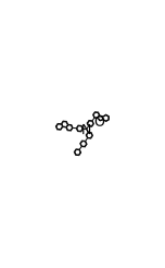 c1ccc(-c2ccc(-c3cccc(N(c4ccc(-c5ccc6c(ccc7ccccc76)c5)cc4)c4ccc(-c5cccc6c5oc5ccccc56)cc4)c3)cc2)cc1